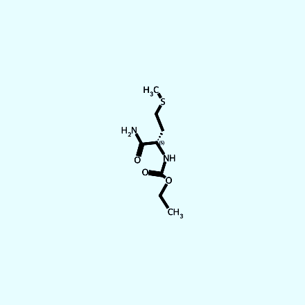 CCOC(=O)N[C@@H](CCSC)C(N)=O